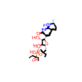 CCC(C)(C[C@H]1O[C@@H](c2cc3ccc(F)[nH]c-3nc2=O)[C@@H](O)C1O)OP(=O)(O)C(O)(CC)CC